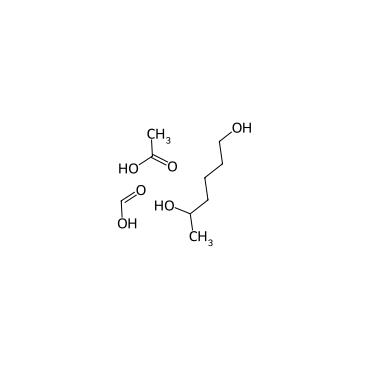 CC(=O)O.CC(O)CCCCO.O=CO